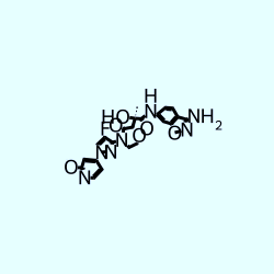 COc1cc(-n2cc(F)c(N3CCO[C@H]([C@@](C)(O)C(=O)Nc4ccc5c(N)noc5c4)C3=O)n2)ccn1